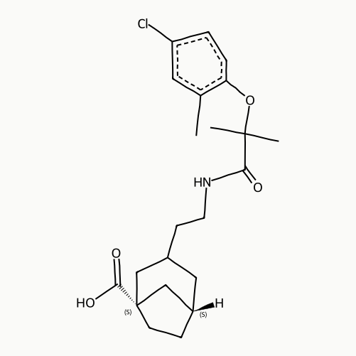 Cc1cc(Cl)ccc1OC(C)(C)C(=O)NCCC1C[C@@H]2CC[C@@](C(=O)O)(C1)C2